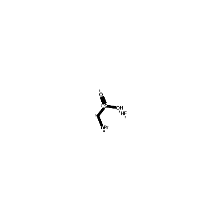 CCCCS(=O)O.F